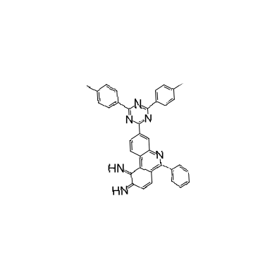 Cc1ccc(-c2nc(-c3ccc(C)cc3)nc(-c3ccc4c5c(c(-c6ccccc6)nc4c3)C=CC(=N)C5=N)n2)cc1